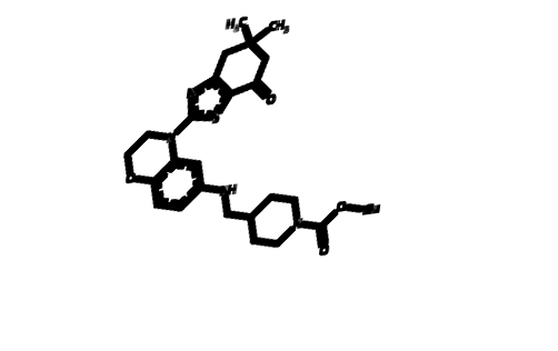 CC1(C)CC(=O)c2sc(N3CCOc4ccc(NCC5CCN(C(=O)OC(C)(C)C)CC5)cc43)nc2C1